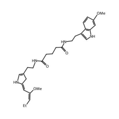 CC/C=C(\C=C1/CC(CCNC(=O)CCCC(=O)NCCc2c[nH]c3cc(OC)ccc23)=CN1)OC